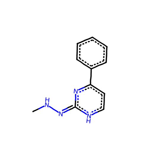 CNN=c1nc(-c2ccccc2)cc[nH]1